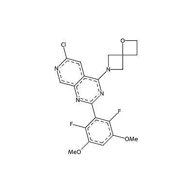 COc1cc(OC)c(F)c(-c2nc(N3CC4(CCO4)C3)c3cc(Cl)ncc3n2)c1F